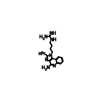 CCCc1nc2c(N)nc3ccccc3c2n1CCCCNC(=N)N